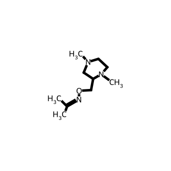 CC(C)=NOCC1CN(C)CCN1C